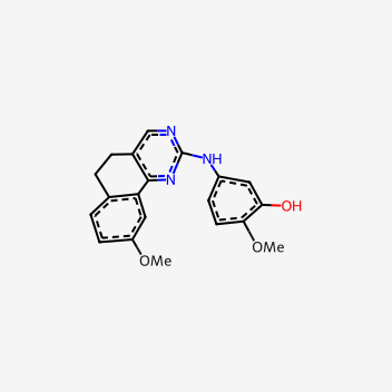 COc1ccc2c(c1)-c1nc(Nc3ccc(OC)c(O)c3)ncc1CC2